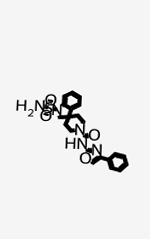 NS(=O)(=O)N1CC2(CCN(C(=O)Nc3nc(-c4ccccc4)co3)CC2)c2ccccc21